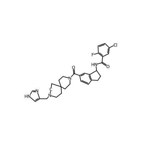 O=C(NC1CCc2ccc(C(=O)N3CCC4(CCN(Cc5c[nH]cn5)CC4)CC3)cc21)c1cc(Cl)ccc1F